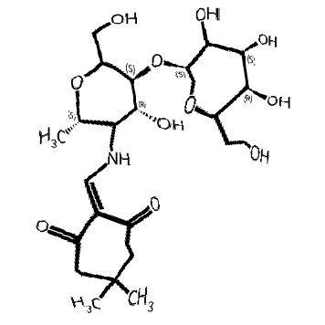 C[C@@H]1OC(CO)[C@@H](O[C@@H]2OC(CO)[C@H](O)[C@H](O)C2O)[C@H](O)C1NC=C1C(=O)CC(C)(C)CC1=O